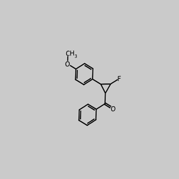 COc1ccc(C2C(F)C2C(=O)c2ccccc2)cc1